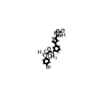 CC(C)(Oc1ccc(Br)cc1)C(=O)Nc1cccc(-c2csc(-c3noc(=O)[nH]3)c2)c1